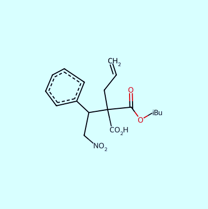 C=CCC(C(=O)O)(C(=O)OC(C)CC)C(C[N+](=O)[O-])c1ccccc1